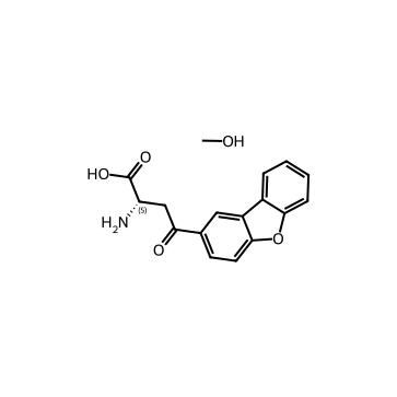 CO.N[C@@H](CC(=O)c1ccc2oc3ccccc3c2c1)C(=O)O